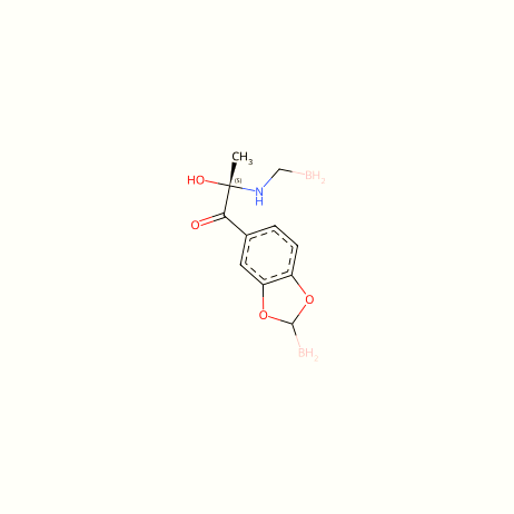 BCN[C@@](C)(O)C(=O)c1ccc2c(c1)OC(B)O2